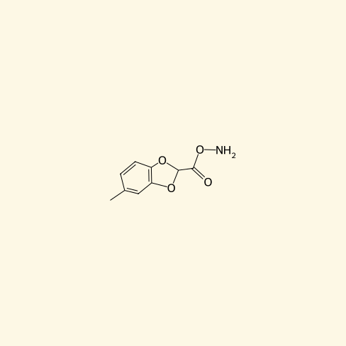 Cc1ccc2c(c1)OC(C(=O)ON)O2